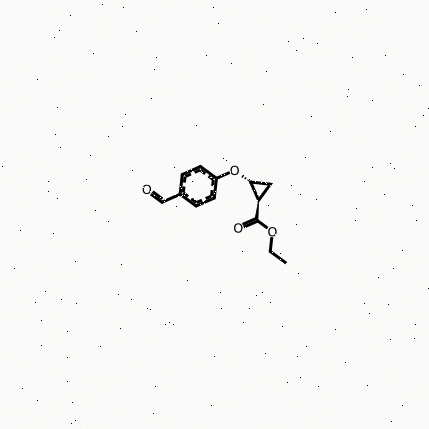 CCOC(=O)[C@@H]1C[C@H]1Oc1ccc(C=O)cc1